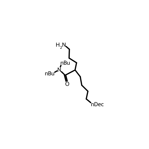 CCCCCCCCCCCCCCC(CCCN)C(=O)N(CCCC)CCCC